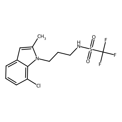 Cc1cc2cccc(Cl)c2n1CCCNS(=O)(=O)C(F)(F)F